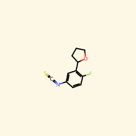 Fc1ccc(N=C=S)cc1C1CCCO1